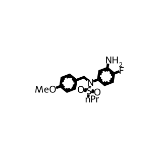 CCCS(=O)(=O)N(Cc1ccc(OC)cc1)c1ccc(F)c(N)c1